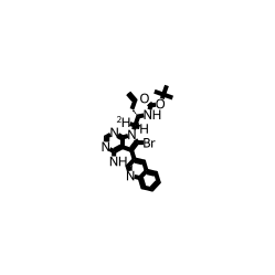 [2H]C([2H])([C@H](CC=C)NC(=O)OC(C)(C)C)n1c(Br)c(-c2cnc3ccccc3c2)c2c(N)ncnc21